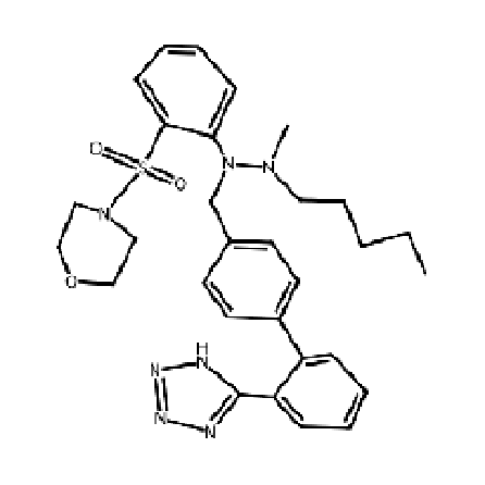 CCCCCN(C)N(Cc1ccc(-c2ccccc2-c2nnn[nH]2)cc1)c1ccccc1S(=O)(=O)N1CCOCC1